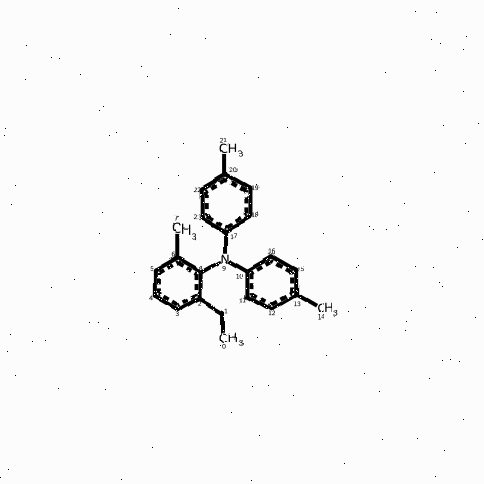 CCc1cccc(C)c1N(c1ccc(C)cc1)c1ccc(C)cc1